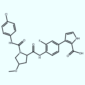 COC1CC(C(=O)Nc2ccc(-c3cc[nH]c3C(=O)O)cc2F)N(C(=O)Nc2ccc(Cl)cc2)C1